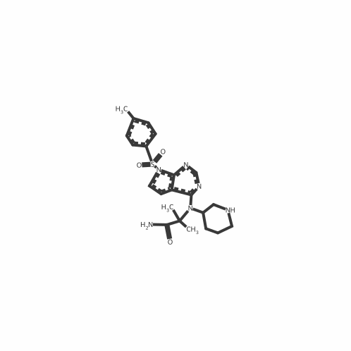 Cc1ccc(S(=O)(=O)n2ccc3c(N(C4CCCNC4)C(C)(C)C(N)=O)ncnc32)cc1